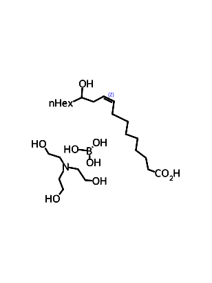 CCCCCCC(O)C/C=C\CCCCCCCC(=O)O.OB(O)O.OCCN(CCO)CCO